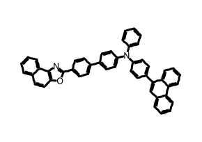 c1ccc(N(c2ccc(-c3ccc(-c4nc5c(ccc6ccccc65)o4)cc3)cc2)c2ccc(-c3cc4ccccc4c4ccccc34)cc2)cc1